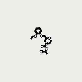 CCOc1ccccc1OCC1CN(C(=O)OC(C)Cl)CCO1